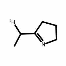 [2H]C(C)C1=NCCC1